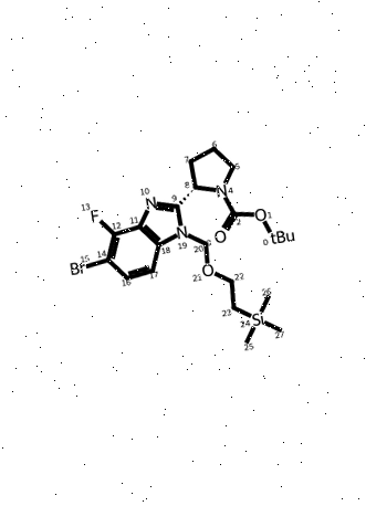 CC(C)(C)OC(=O)N1CCC[C@H]1c1nc2c(F)c(Br)ccc2n1COCC[Si](C)(C)C